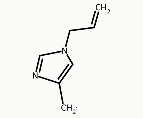 [CH2]c1cn(CC=C)cn1